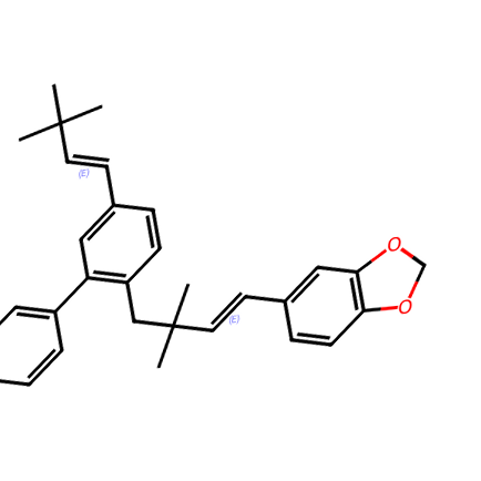 CC(C)(C)/C=C/c1ccc(CC(C)(C)/C=C/c2ccc3c(c2)OCO3)c(-c2ccccc2)c1